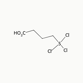 O=C(O)CCCS(Cl)(Cl)Cl